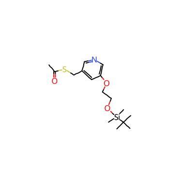 CC(=O)SCc1cncc(OCCO[Si](C)(C)C(C)(C)C)c1